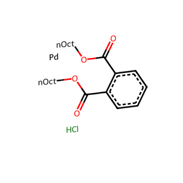 CCCCCCCCOC(=O)c1ccccc1C(=O)OCCCCCCCC.Cl.[Pd]